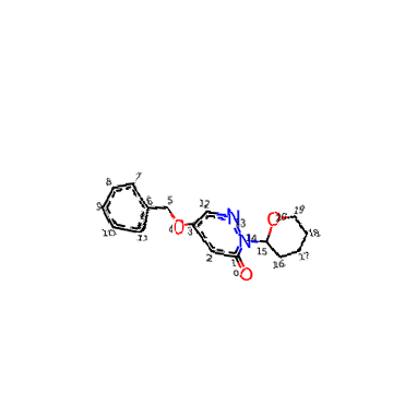 O=c1cc(OCc2ccccc2)cnn1C1CCCCO1